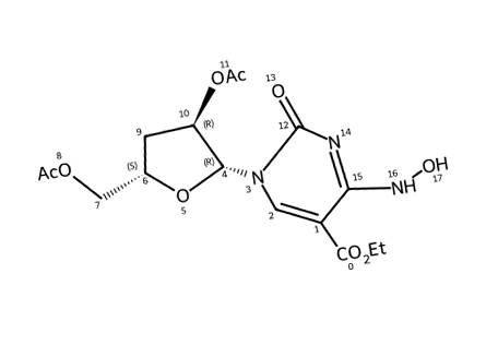 CCOC(=O)c1cn([C@@H]2O[C@H](COC(C)=O)C[C@H]2OC(C)=O)c(=O)nc1NO